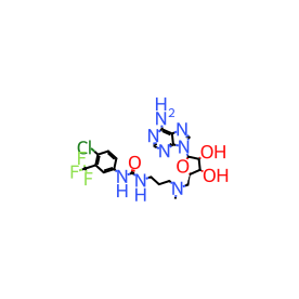 CN(CCCNC(=O)Nc1ccc(Cl)c(C(F)(F)F)c1)C[C@H]1O[C@@H](n2cnc3c(N)ncnc32)C(O)[C@H]1O